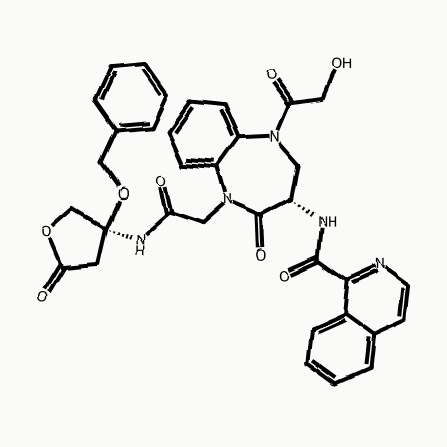 O=C(CN1C(=O)[C@@H](NC(=O)c2nccc3ccccc23)CN(C(=O)CO)c2ccccc21)N[C@@]1(OCc2ccccc2)COC(=O)C1